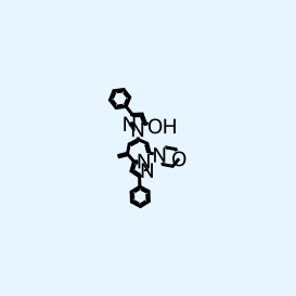 C=C1C=C(n2nc(-c3ccccc3)cc2O)C=C(N2CCOCC2)n2nc(-c3ccccc3)cc21